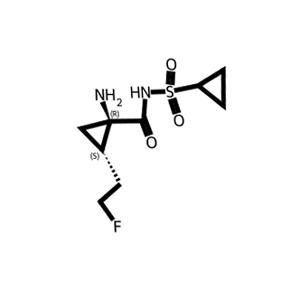 N[C@]1(C(=O)NS(=O)(=O)C2CC2)C[C@H]1CCF